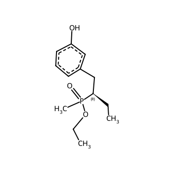 CCOP(C)(=O)[C@H](CC)Cc1cccc(O)c1